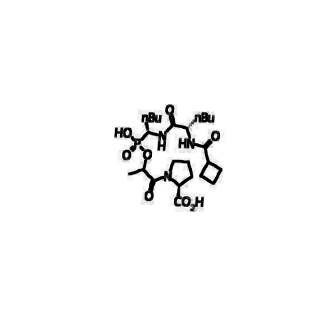 CCCC[C@H](NC(=O)C1CCC1)C(=O)N[C@H](CCCC)P(=O)(O)OC(C)C(=O)N1CCC[C@H]1C(=O)O